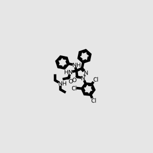 CC(=O)NC1(Nc2ccccc2)C(=O)N(c2c(Cl)cc(Cl)cc2Cl)N=C1c1ccccc1.CCNCC